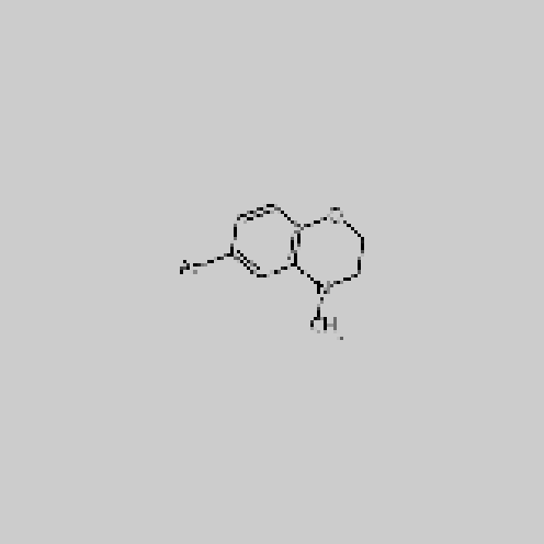 CC(=O)c1ccc2c(c1)N(C)CCO2